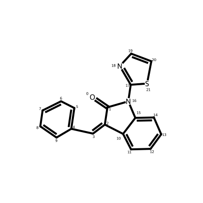 O=C1C(=Cc2ccccc2)c2ccccc2N1c1nccs1